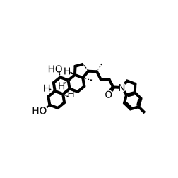 Cc1ccc2c(c1)CCN2C(=O)CC[C@@H](C)[C@H]1CC[C@H]2[C@@H]3[C@@H](O)C[C@@H]4C[C@H](O)CC[C@]4(C)[C@H]3CC[C@]12C